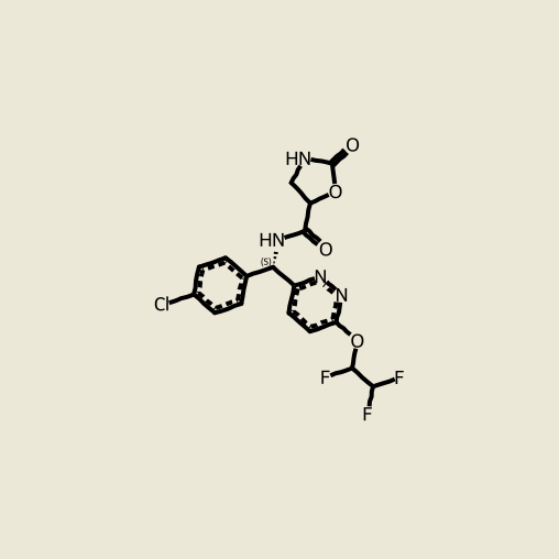 O=C1NCC(C(=O)N[C@@H](c2ccc(Cl)cc2)c2ccc(OC(F)C(F)F)nn2)O1